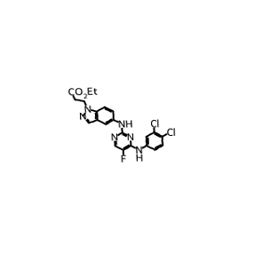 CCOC(=O)CCn1ncc2cc(Nc3ncc(F)c(Nc4ccc(Cl)c(Cl)c4)n3)ccc21